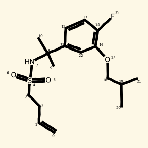 C=CCCS(=O)(=O)NC(C)(C)c1ccc(F)c(OCC(C)C)c1